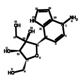 NN1C=CC([C@@H]2O[C@H](CO)[C@@H](O)[C@]2(O)CO)c2[nH]ccc21